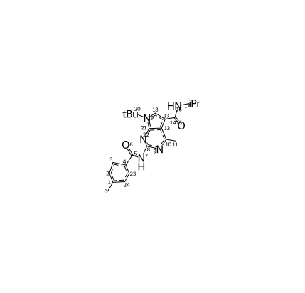 Cc1ccc(C(=O)Nc2nc(C)c3c(C(=O)NC(C)C)cn(C(C)(C)C)c3n2)cc1